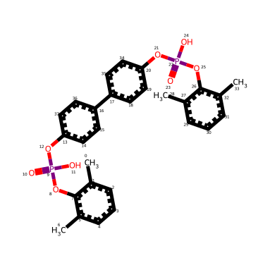 Cc1cccc(C)c1OP(=O)(O)Oc1ccc(-c2ccc(OP(=O)(O)Oc3c(C)cccc3C)cc2)cc1